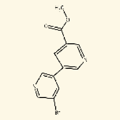 COC(=O)c1cncc(-c2cncc(Br)c2)c1